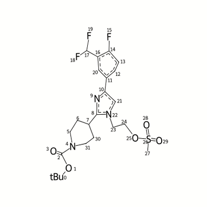 CC(C)(C)OC(=O)N1CCC(c2nc(-c3ccc(F)c(C(F)F)c3)cn2CCOS(C)(=O)=O)CC1